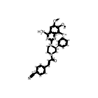 COc1cc2c(N)nc(N3CCN(C(=O)/C=C/c4ccc(C#N)cc4)C[C@@H]3c3ccccc3)nc2c(F)c1OC